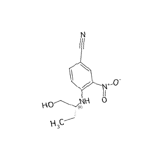 CC[C@H](CO)Nc1ccc(C#N)cc1[N+](=O)[O-]